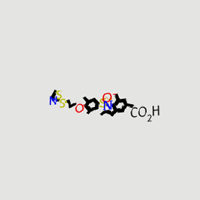 Cc1cc([S+]([O-])n2c(C)cc3cc(CC(=O)O)cc(C)c32)cc(C)c1OCCCSc1nccs1